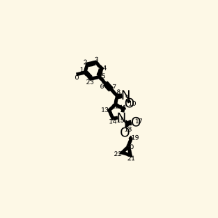 Cc1cccc(C#CC2=NOC3C2CCN3C(=O)OCC2CC2)c1